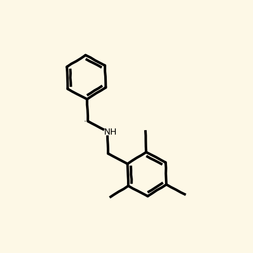 Cc1cc(C)c(CN[CH]c2ccccc2)c(C)c1